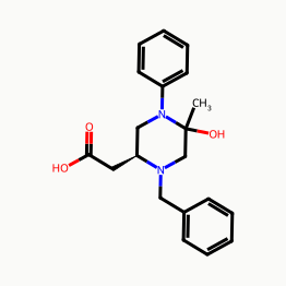 CC1(O)CN(Cc2ccccc2)[C@@H](CC(=O)O)CN1c1ccccc1